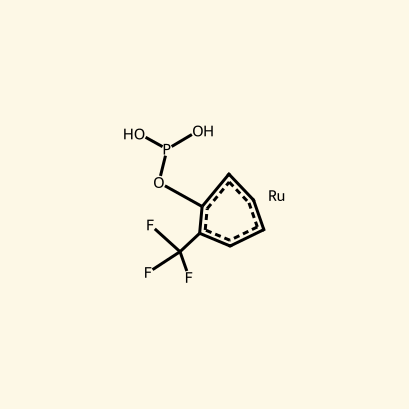 OP(O)Oc1ccccc1C(F)(F)F.[Ru]